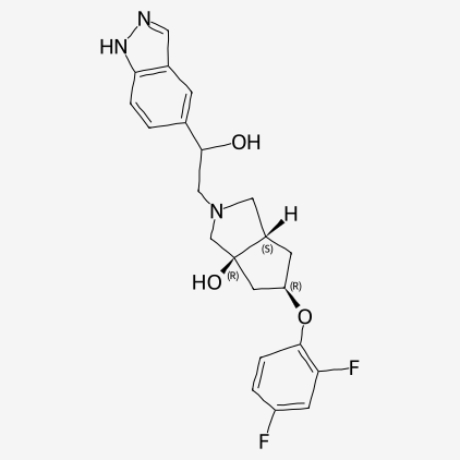 OC(CN1C[C@@H]2C[C@@H](Oc3ccc(F)cc3F)C[C@]2(O)C1)c1ccc2[nH]ncc2c1